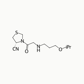 CC(C)OCCCNCC(=O)N1CSC[C@H]1C#N